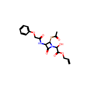 C=CCOC(=O)C(O)N1C(=O)C(NC(=O)COc2ccccc2)[C@H]1SC(C)=O